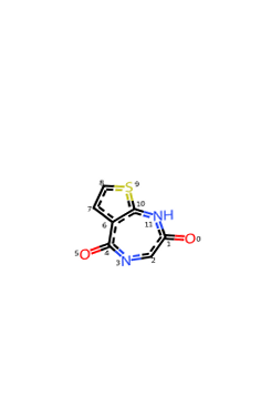 O=c1cnc(=O)c2ccsc2[nH]1